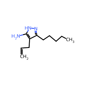 C=CCc1c(CCCCC)n[nH]c1N